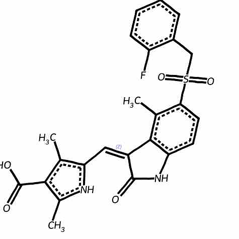 Cc1[nH]c(/C=C2\C(=O)Nc3ccc(S(=O)(=O)Cc4ccccc4F)c(C)c32)c(C)c1C(=O)O